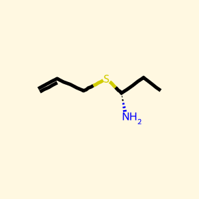 C=CCS[C@@H](N)CC